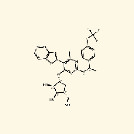 Cc1nc(N[C@H](C)c2ccc(OC(F)(F)F)cc2)nc(N[C@@H]2C[C@H](CO)[C@@H](O)[C@H]2O)c1-c1nc2cnccc2s1